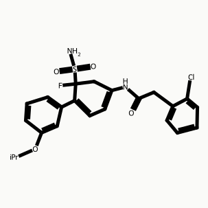 CC(C)Oc1cccc(C2=CC=C(NC(=O)Cc3ccccc3Cl)CC2(F)S(N)(=O)=O)c1